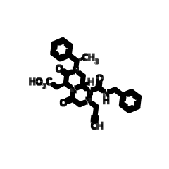 C#CCN1CC(=O)N2[C@@H](CC(=O)O)C(=O)N([C@@H](C)c3ccccc3)C[C@@H]2N1C(=O)NCc1ccccc1